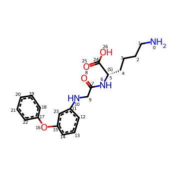 NCCCC[C@H](NC(=O)CNc1cccc(Oc2ccccc2)c1)C(=O)O